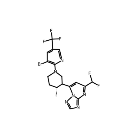 C[C@@H]1CCN(c2ncc(C(F)(F)F)cc2Br)CC1c1cc(C(F)F)nc2ncnn12